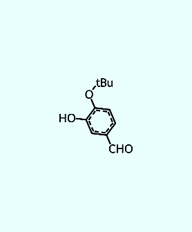 CC(C)(C)Oc1ccc(C=O)cc1O